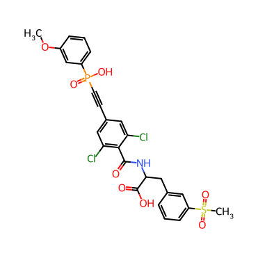 COc1cccc(P(=O)(O)C#Cc2cc(Cl)c(C(=O)NC(Cc3cccc(S(C)(=O)=O)c3)C(=O)O)c(Cl)c2)c1